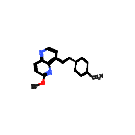 CCOc1ccc2nccc(CC[C@H]3CC[C@H](C(=O)O)CC3)c2n1